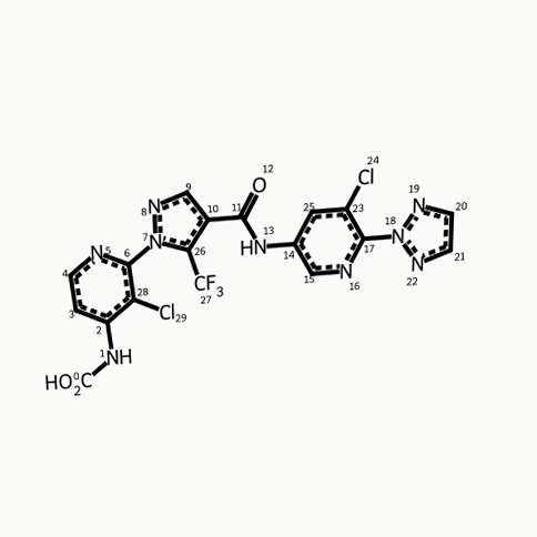 O=C(O)Nc1ccnc(-n2ncc(C(=O)Nc3cnc(-n4nccn4)c(Cl)c3)c2C(F)(F)F)c1Cl